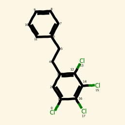 Clc1cc(CCc2ccccc2)c(Cl)c(Cl)c1Cl